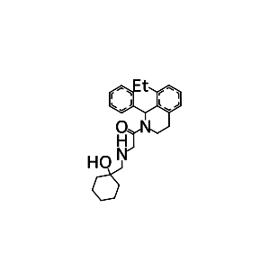 CCc1cccc2c1C(c1ccccc1)N(C(=O)CNCC1(O)CCCCC1)CC2